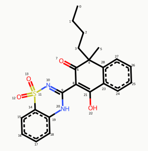 CCCCC1(C)C(=O)C(C2=NS(=O)(=O)c3ccccc3N2)=C(O)c2ccccc21